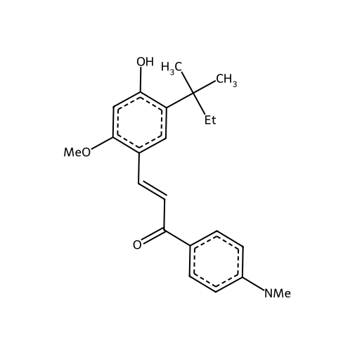 CCC(C)(C)c1cc(/C=C/C(=O)c2ccc(NC)cc2)c(OC)cc1O